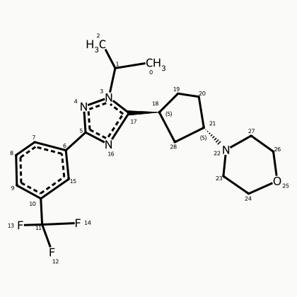 CC(C)n1nc(-c2cccc(C(F)(F)F)c2)nc1[C@H]1CC[C@H](N2CCOCC2)C1